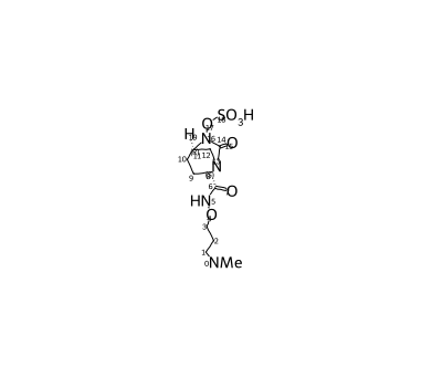 CNCCCONC(=O)[C@@H]1CC[C@@H]2CN1C(=O)N2OS(=O)(=O)O